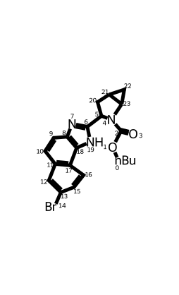 CCCCOC(=O)N1C(c2nc3ccc4cc(Br)ccc4c3[nH]2)CC2CC21